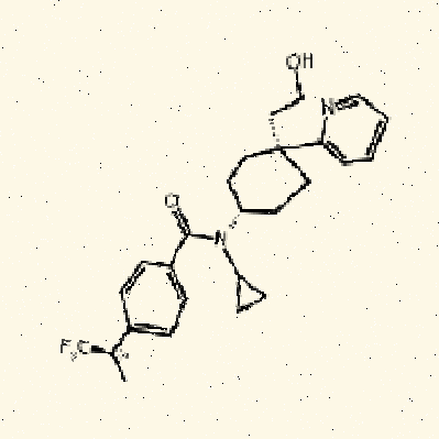 C[C@H](c1ccc(C(=O)N(C2CC2)[C@H]2CC[C@](CCO)(c3ccccn3)CC2)cc1)C(F)(F)F